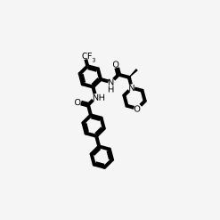 C[C@H](C(=O)Nc1cc(C(F)(F)F)ccc1NC(=O)c1ccc(-c2ccccc2)cc1)N1CCOCC1